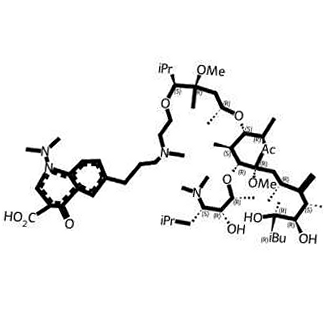 C=C([C@H](C)C[C@@](C)(OC)[C@H](O[C@H](C)[C@H](O)[C@H](CC(C)C)N(C)C)[C@@H](C)[C@H](O[C@H](C)C[C@@](C)(OC)[C@@H](OCCN(C)CCCc1ccc2c(c1)c(=O)c(C(=O)O)cn2N(C)C)C(C)C)[C@@H](C)C(C)=O)[C@H](C)[C@@H](O)[C@](C)(O)[C@H](C)CC